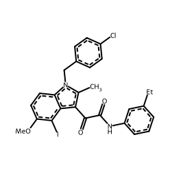 CCc1cccc(NC(=O)C(=O)c2c(C)n(Cc3ccc(Cl)cc3)c3ccc(OC)c(I)c23)c1